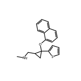 CNCC1CC1(Oc1cccc2ccccc12)c1cccs1